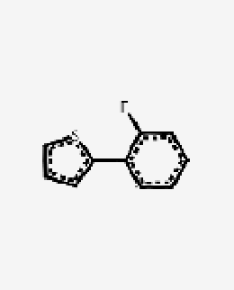 Fc1ccc[c]c1-c1cccs1